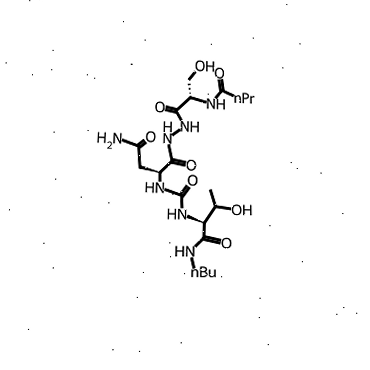 CCCCNC(=O)[C@@H](NC(=O)N[C@@H](CC(N)=O)C(=O)NNC(=O)[C@H](CO)NC(=O)CCC)C(C)O